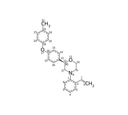 C=Cc1ccccc1N1CCO[C@H](c2ccc(Oc3ccc(C)cc3)cc2)C1